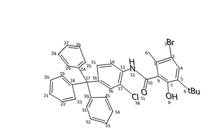 Cc1c(Br)cc(C(C)(C)C)c(O)c1C(=O)Nc1ccc(C(c2ccccc2)(c2ccccc2)c2ccccc2)cc1Cl